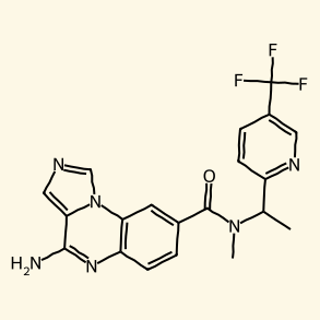 CC(c1ccc(C(F)(F)F)cn1)N(C)C(=O)c1ccc2nc(N)c3cncn3c2c1